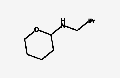 CC(C)CNC1CCCCO1